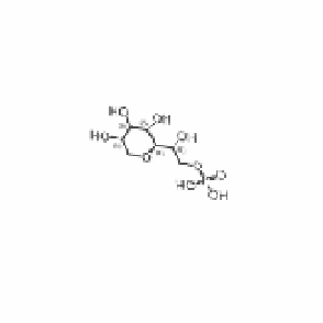 O=P(O)(O)OC[C@@H](O)[C@H]1OC[C@@H](O)[C@@H](O)[C@@H]1O